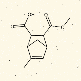 COC(=O)C1C2C=C(C)C(C2)C1C(=O)O